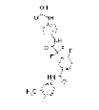 Cc1cc(NC(=O)c2ccc(F)c(C(F)(F)C(=O)NC34CCC(NC(=O)O)(CC3)C4)c2)ccc1F